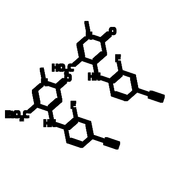 C#Cc1ccc(Nc2cc(=O)n(C)cc2C(=O)O)c(F)c1.C#Cc1ccc(Nc2cc(=O)n(C)cc2C(=O)OCC)c(F)c1